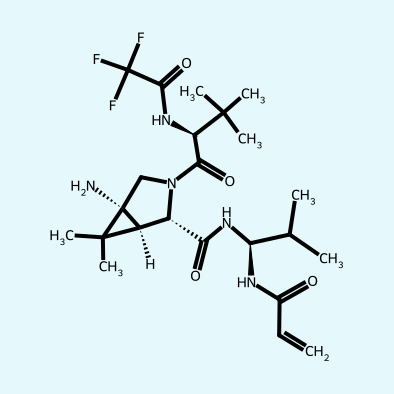 C=CC(=O)N[C@@H](NC(=O)[C@@H]1[C@H]2C(C)(C)[C@@]2(N)CN1C(=O)[C@@H](NC(=O)C(F)(F)F)C(C)(C)C)C(C)C